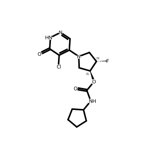 O=C(NC1CCCC1)O[C@H]1CN(c2cn[nH]c(=O)c2Cl)C[C@@H]1F